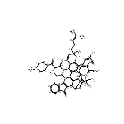 COC(=O)/C(C)=C\CC12OC(C)(C)C3CC(C1=O)C1C4=C(c5ccccc5C4=O)N(CCN)C4=C1C32Oc1c(CC=C(C)C)c2c(c(OC(=O)CC(=O)N3CCN(C)CC3)c14)C=CC(C)(CCC=C(C)C)O2